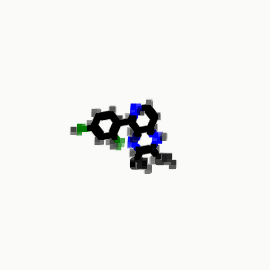 Cc1nc2ccnc(-c3ccc(F)cc3F)c2nc1C